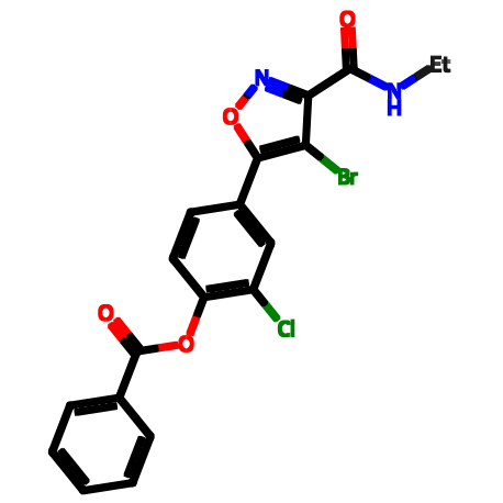 CCNC(=O)c1noc(-c2ccc(OC(=O)c3ccccc3)c(Cl)c2)c1Br